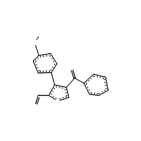 COc1ccc(-c2c(C(=O)c3ccccc3)c[nH]c2C=O)cc1